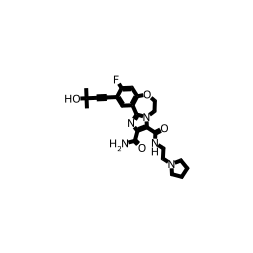 CC(C)(O)C#Cc1cc2c(cc1F)OCCn1c-2nc(C(N)=O)c1C(=O)NCCN1CCCC1